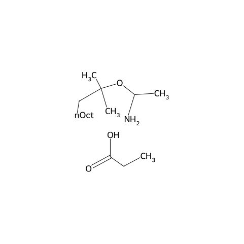 CCC(=O)O.CCCCCCCCCC(C)(C)OC(C)N